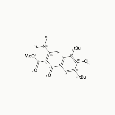 COC(=O)C(C(=O)c1cc(C(C)(C)C)c(O)c(C(C)(C)C)c1)=C(C)N(C)C